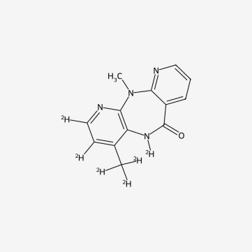 [2H]c1nc2c(c(C([2H])([2H])[2H])c1[2H])N([2H])C(=O)c1cccnc1N2C